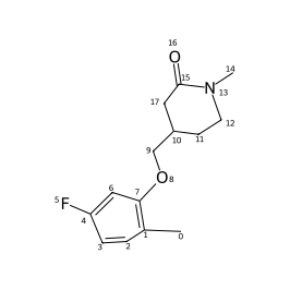 Cc1ccc(F)cc1OCC1CCN(C)C(=O)C1